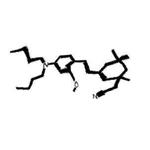 CCCCN(CCCC)c1ccc(/C=C/C2=CC(C)(CC#N)CC(C)(C)C2)c(OC)c1